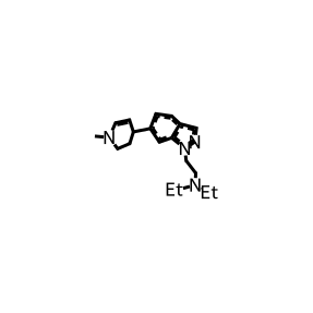 CCN(CC)CCn1ncc2ccc(C3C=CN(C)CC3)cc21